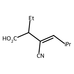 CCC(C(=O)O)C(C#N)=CC(C)C